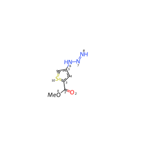 COC(=O)c1cc(NN=N)cs1